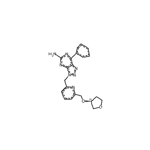 Nc1nc(-c2ccccc2)c2nnn(Cc3cccc(CO[C@H]4CCOC4)n3)c2n1